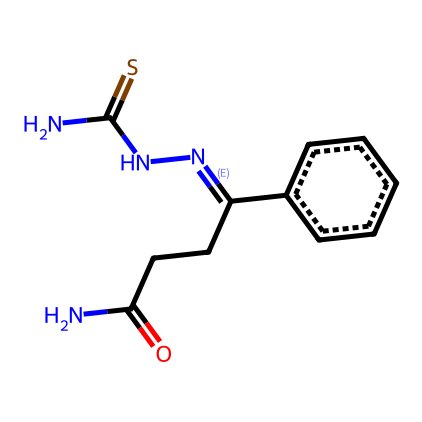 NC(=O)CC/C(=N\NC(N)=S)c1ccccc1